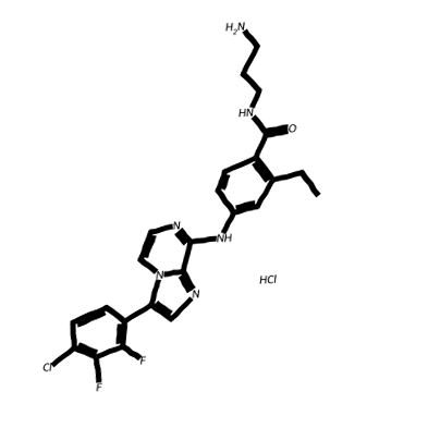 CCc1cc(Nc2nccn3c(-c4ccc(Cl)c(F)c4F)cnc23)ccc1C(=O)NCCCN.Cl